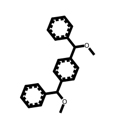 COC(c1ccccc1)c1ccc(C(OC)c2ccccc2)cc1